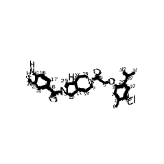 Cc1cc(OCC(=O)N2CC=C3CN(C(=O)c4ccc5[nH]nnc5c4)C[C@H]3CC2)c(C(C)C)cc1Cl